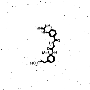 CSC1(NC(=O)CNC(=O)c2cccc(NC(=N)N)c2)C=CC=C(CCC(=O)O)C1